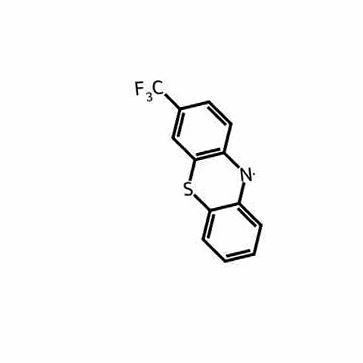 FC(F)(F)c1ccc2c(c1)Sc1ccccc1[N]2